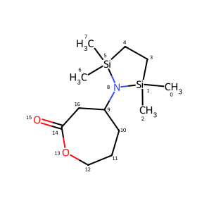 C[Si]1(C)CC[Si](C)(C)N1C1CCCOC(=O)C1